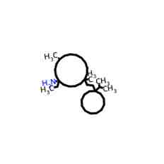 CCC1(N)CCCCC(C)(CCC2(C(C)C)CCCCCCCCCCC2)CCCCCCC[C@H](C)CCC1